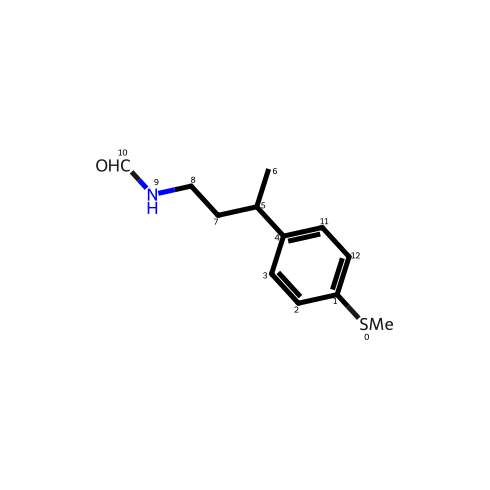 CSc1ccc(C(C)CCNC=O)cc1